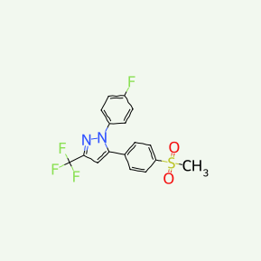 CS(=O)(=O)c1ccc(-c2cc(C(F)(F)F)nn2-c2ccc(F)cc2)cc1